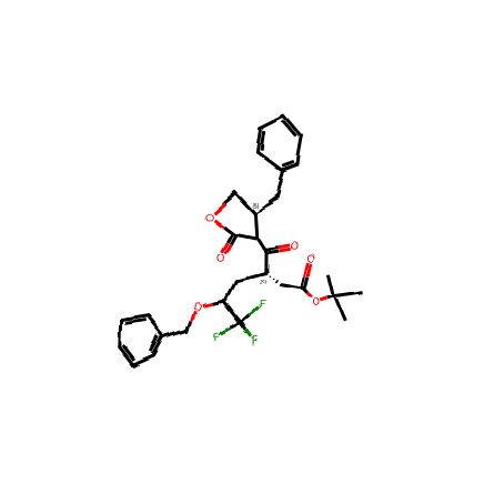 CC(C)(C)OC(=O)C[C@H](CC(OCc1ccccc1)C(F)(F)F)C(=O)C1C(=O)OC[C@H]1Cc1ccccc1